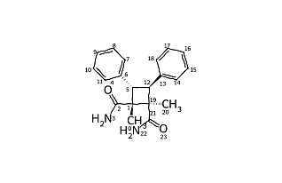 C[C@@]1(C(N)=O)[C@H](c2ccccc2)[C@@H](c2ccccc2)[C@@]1(C)C(N)=O